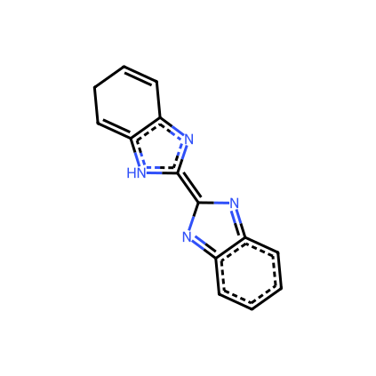 C1=Cc2nc(=C3N=c4ccccc4=N3)[nH]c2=CC1